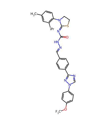 Cc1ccc(N2CCS/C2=N\C(=O)N/N=C/c2ccc(-c3ncn(-c4ccc(OC(F)(F)F)cc4)n3)cc2)c(C(C)C)c1